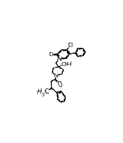 CC(CC(=O)N1CCC(O)(Cn2cc(-c3ccccc3)c(Cl)cc2=O)CC1)c1ccccc1